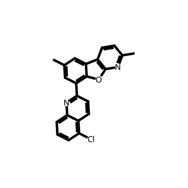 Cc1cc(-c2ccc3c(Cl)cccc3n2)c2oc3nc(C)ccc3c2c1